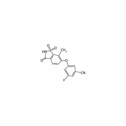 Cc1c(Oc2cc(F)cc(C#N)c2)ccc2c1S(=O)(=O)NC2=O